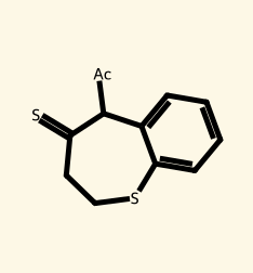 CC(=O)C1C(=S)CCSc2ccccc21